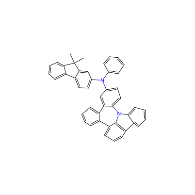 CC1(C)c2ccccc2-c2ccc(N(c3ccccc3)c3ccc4c(c3)-c3ccccc3-c3cccc5c6ccccc6n-4c35)cc21